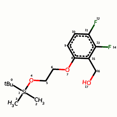 CC(C)(C)[Si](C)(C)OCCOc1ccc(F)c(F)c1CO